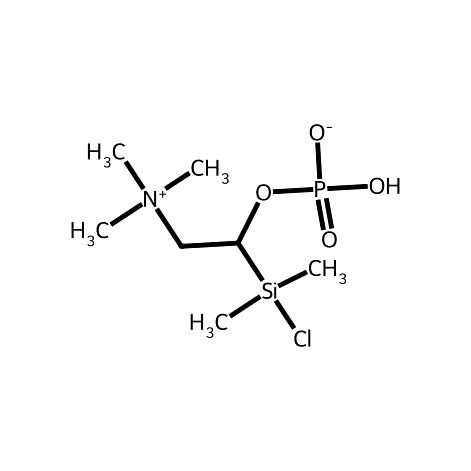 C[N+](C)(C)CC(OP(=O)([O-])O)[Si](C)(C)Cl